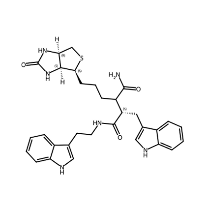 NC(=O)C(CCC[C@@H]1SC[C@@H]2NC(=O)N[C@@H]21)[C@H](Cc1c[nH]c2ccccc12)C(=O)NCCc1c[nH]c2ccccc12